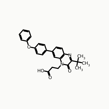 CC(C)(C)c1nc2ccc(-c3ccc(Oc4ccccc4)cc3)cc2n(CCC(=O)O)c1=O